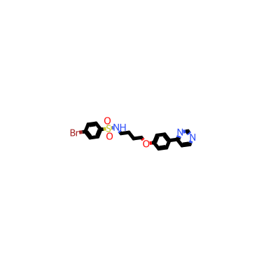 O=S(=O)(NCCCCOc1ccc(-c2ccncn2)cc1)c1ccc(Br)cc1